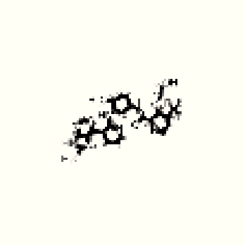 Cc1nc2c(-c3cccnc3Nc3cc(NC(=O)c4nccc(C(F)(F)F)c4OCCO)ccc3C)ncnc2[nH]1